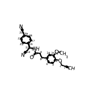 C#CCOc1ccc(CCC(=O)NC(C#N)c2ccc(C#N)cc2)cc1OC